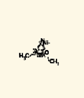 CCCCS(=O)(=O)c1cc2cn[nH]c2cc1S(=O)(=O)CCCC